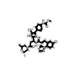 COC(=O)Nc1ccc(-c2nc(C(CC(=O)N3CC(C)O[C@@H](C)C3)NC(=O)/C=C/c3cc(Cl)ccc3-n3cnnn3)[nH]c2Cl)cc1